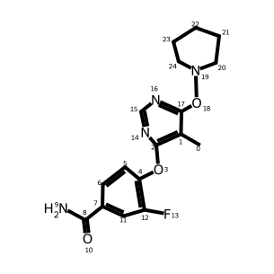 Cc1c(Oc2ccc(C(N)=O)cc2F)ncnc1ON1CCCCC1